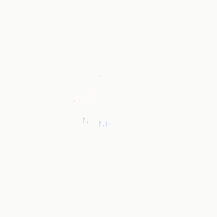 Cc1ccccc1-c1nc(C(=O)OCc2ccccc2)c(CCC2CCCCC2)[nH]1